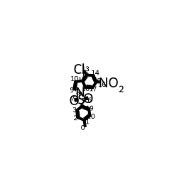 Cc1ccc(S(=O)(=O)n2ccc3c(Cl)cc([N+](=O)[O-])cc32)cc1